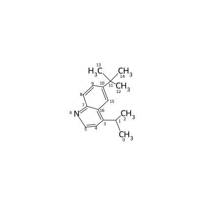 CC(C)c1ccnc2ccc(C(C)(C)C)cc12